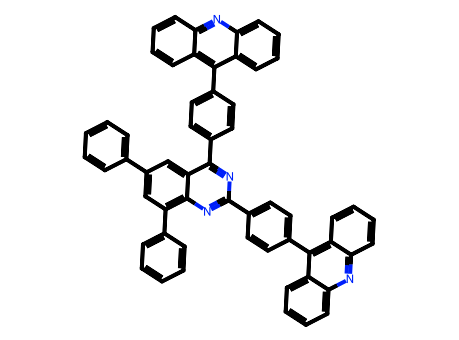 c1ccc(-c2cc(-c3ccccc3)c3nc(-c4ccc(-c5c6ccccc6nc6ccccc56)cc4)nc(-c4ccc(-c5c6ccccc6nc6ccccc56)cc4)c3c2)cc1